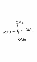 CO[N+](OC)(OC)OC